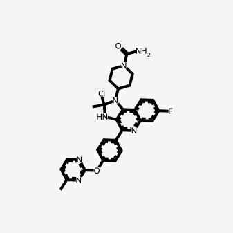 Cc1ccnc(Oc2ccc(-c3nc4cc(F)ccc4c4c3NC(C)(Cl)N4C3CCN(C(N)=O)CC3)cc2)n1